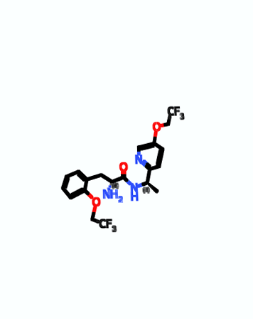 C[C@@H](NC(=O)[C@H](N)Cc1ccccc1OCC(F)(F)F)c1ccc(OCC(F)(F)F)cn1